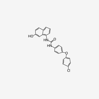 O=C(Nc1ccc(Oc2ccc(Cl)cc2)cc1)Nc1cccc2ccc(O)cc12